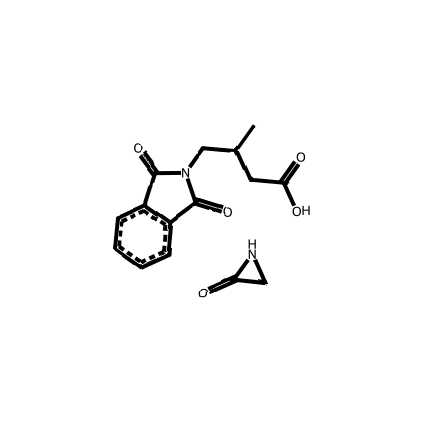 CC(CC(=O)O)CN1C(=O)c2ccccc2C1=O.O=C1CN1